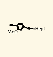 C#Cc1ccc(C#CCCCCCCC)cc1OC